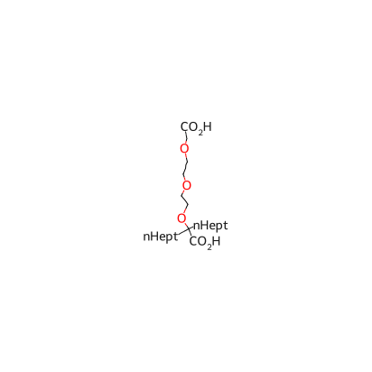 CCCCCCCC(CCCCCCC)(OCCOCCOCC(=O)O)C(=O)O